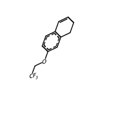 FC(F)(F)COc1ccc2c(c1)CCC=C2